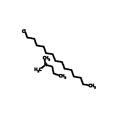 CCCCCCCCCCCCCCCl.CCCN(C)C